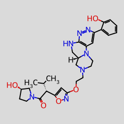 CC(C)[C@@H](C(=O)N1CC[C@@H](O)C1)c1cc(OCCN2CCN3c4cc(-c5ccccc5O)nnc4NC[C@H]3C2)no1